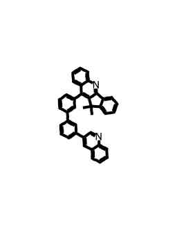 CC1(C)c2ccccc2-c2nc3ccccc3c(-c3cccc(-c4cccc(-c5cnc6ccccc6c5)c4)c3)c21